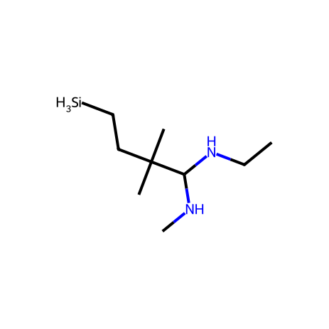 CCNC(NC)C(C)(C)CC[SiH3]